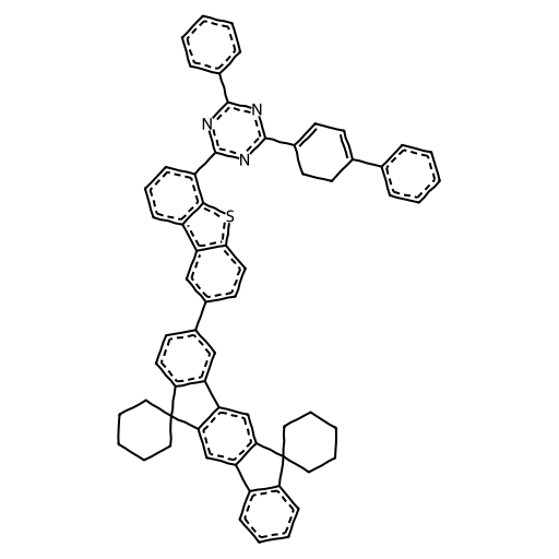 C1=C(c2ccccc2)CCC(c2nc(-c3ccccc3)nc(-c3cccc4c3sc3ccc(-c5ccc6c(c5)-c5cc7c(cc5C65CCCCC5)-c5ccccc5C75CCCCC5)cc34)n2)=C1